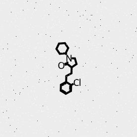 O=C1C(CCc2ccccc2Cl)CCN1C1CCCCC1